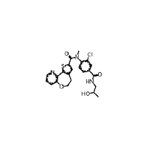 CC(O)CNC(=O)c1ccc(N(C)C(=O)c2cc3c(s2)-c2ncccc2OCC3)c(Cl)c1